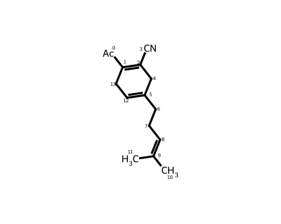 CC(=O)C1=C(C#N)CC(CCC=C(C)C)=CC1